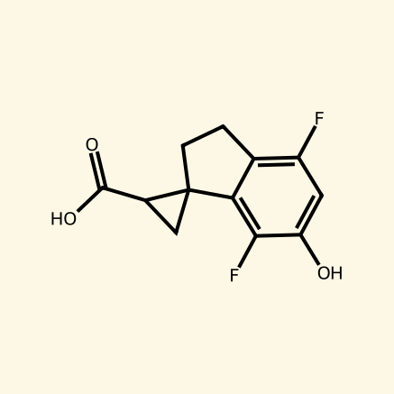 O=C(O)C1CC12CCc1c(F)cc(O)c(F)c12